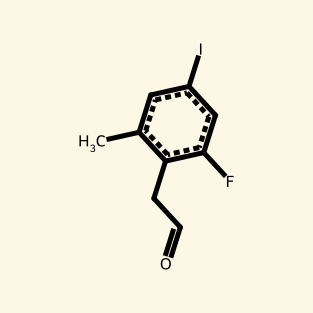 Cc1cc(I)cc(F)c1CC=O